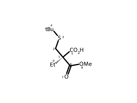 CC[C@](CSC(C)(C)C)(C(=O)O)C(=O)OC